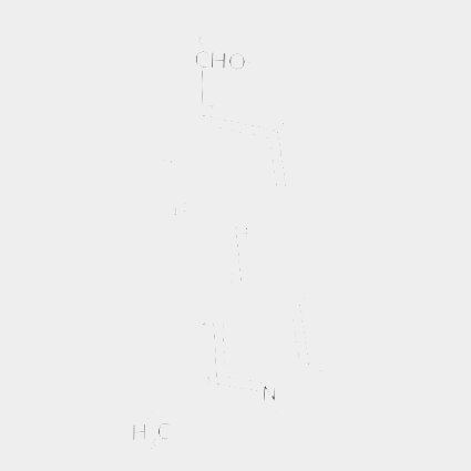 Cc1cc(-c2ccc([C]=O)cc2)ccn1